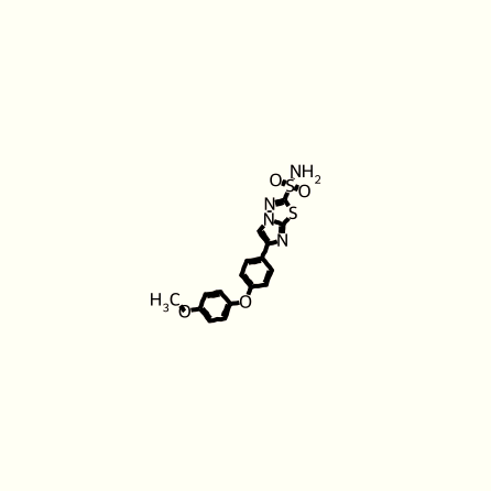 COc1ccc(Oc2ccc(-c3cn4nc(S(N)(=O)=O)sc4n3)cc2)cc1